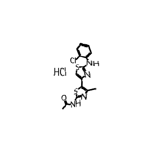 CC(=O)Nc1nc(C)c(-c2csc(Nc3ccccc3Cl)n2)s1.Cl